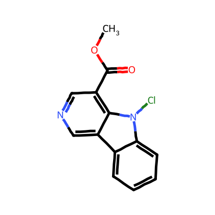 COC(=O)c1cncc2c3ccccc3n(Cl)c12